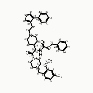 CCSc1cc(F)ccc1CN1CCN(C(=O)[C@H](NC(=O)OCc2ccccc2)C2CCN(CCc3cscc3-c3ccccc3)CC2)CC1